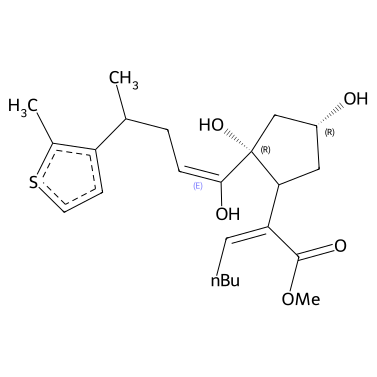 CCCCC=C(C(=O)OC)C1C[C@@H](O)C[C@]1(O)/C(O)=C\CC(C)c1ccsc1C